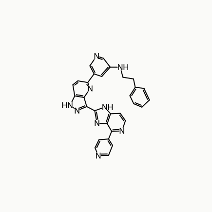 c1ccc(CCNc2cncc(-c3ccc4[nH]nc(-c5nc6c(-c7ccncc7)nccc6[nH]5)c4n3)c2)cc1